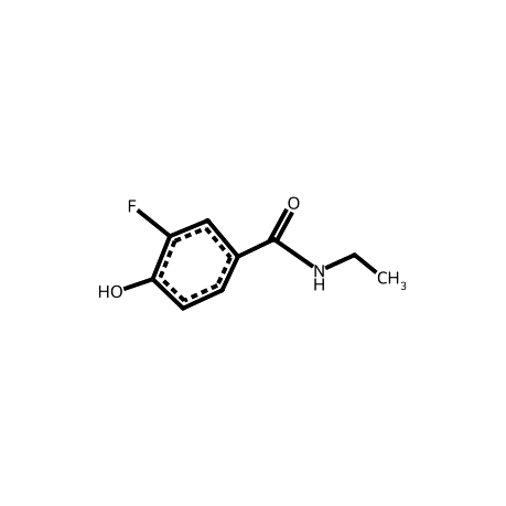 CCNC(=O)c1ccc(O)c(F)c1